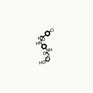 O=C(CN1CC[C@H](O)C1)Nc1ccc(Nc2ncc(-c3ccc(Cl)cc3)o2)cc1